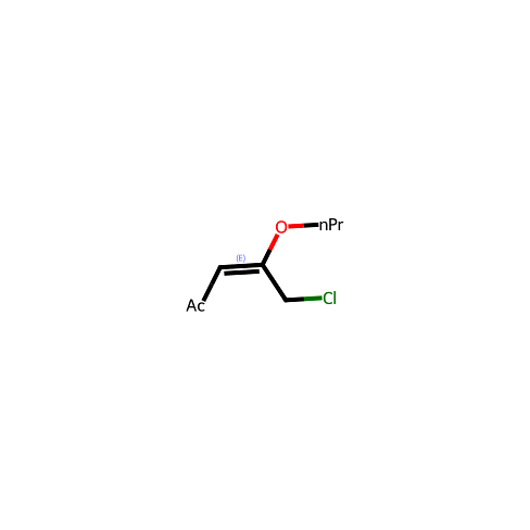 CCCO/C(=C/C(C)=O)CCl